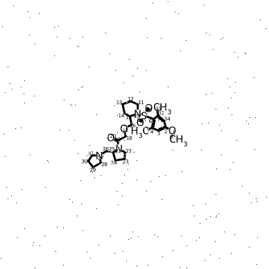 COc1cc(C)c(S(=O)(=O)N2CCCCC2COCC(=O)N2CCC[C@H]2CN2CCCC2)c(C)c1